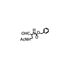 CC(=O)NCC([C]=O)NC(=O)OCc1ccccc1